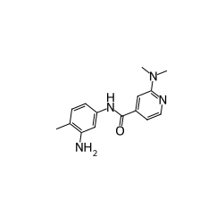 Cc1ccc(NC(=O)c2ccnc(N(C)C)c2)cc1N